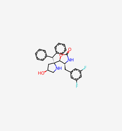 O=C1N[C@@H](Cc2cc(F)cc(F)c2)[C@@H]([C@]2(C(c3ccccc3)c3ccccc3)C[C@H](O)CN2)O1